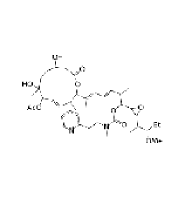 CCC(OC)C(C)C1OC1C(OC(=O)N(C)CCc1ccccn1)C(C)/C=C/C=C(\C)C1OC(=O)CC(O)CCC(C)(O)C(OC(C)=O)/C=C/C1C